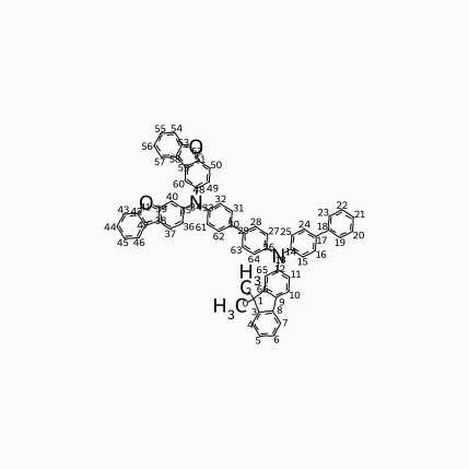 CC1(C)c2ccccc2-c2ccc(N(c3ccc(-c4ccccc4)cc3)c3ccc(-c4ccc(N(c5ccc6c(c5)oc5ccccc56)c5ccc6oc7ccccc7c6c5)cc4)cc3)cc21